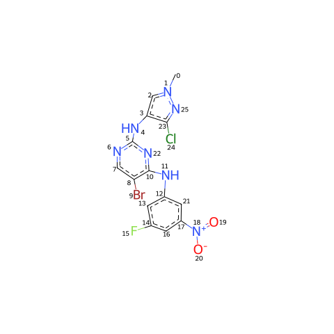 Cn1cc(Nc2ncc(Br)c(Nc3cc(F)cc([N+](=O)[O-])c3)n2)c(Cl)n1